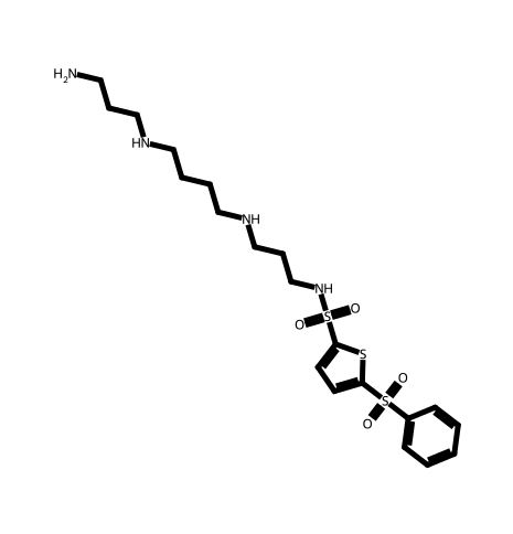 NCCCNCCCCNCCCNS(=O)(=O)c1ccc(S(=O)(=O)c2ccccc2)s1